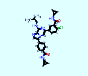 CC(C)CNc1nc(-c2ccc(Cl)c(C(=O)NC3CC3)c2)cn2c(-c3ccc(C(=O)NC4CC4)cc3)cnc12